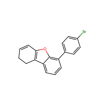 Brc1ccc(-c2cccc3c4c(oc23)C=CCC4)cc1